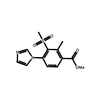 COC(=O)c1ccc(-n2ccnc2)c(S(C)(=O)=O)c1C